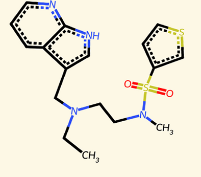 CCN(CCN(C)S(=O)(=O)c1ccsc1)Cc1c[nH]c2ncccc12